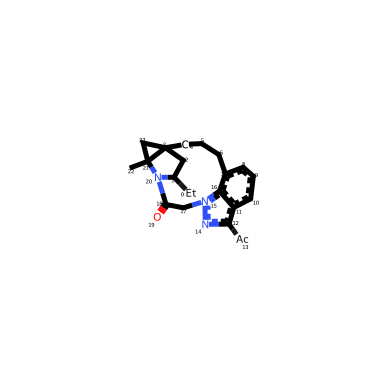 CCC1CC23CCCc4cccc5c(C(C)=O)nn(c45)CC(=O)N1C2(C)C3